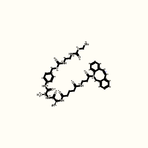 CC(C)[C@H](NC(=O)CCCC(=O)NCCC(=O)N1Cc2ccccc2/C=C\c2ccccc21)C(=O)N[C@@H](C)C(=O)Nc1ccc(COC(=O)NCCNC(=O)OCC(C)(C)C)cc1